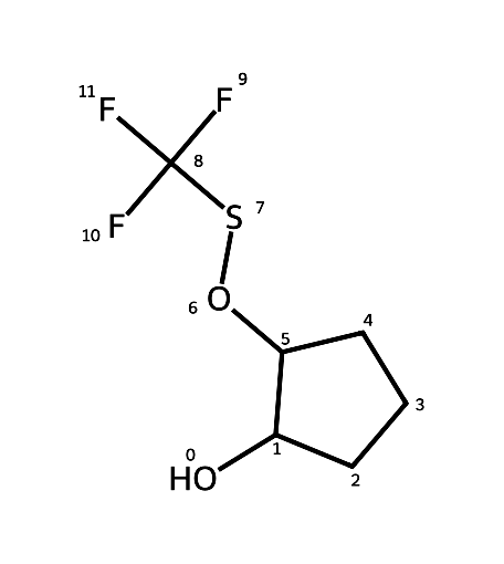 OC1CCCC1OSC(F)(F)F